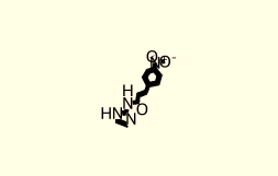 O=C(C=Cc1ccc([N+](=O)[O-])cc1)Nc1ncc[nH]1